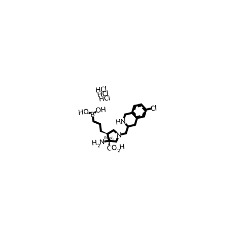 Cl.Cl.Cl.N[C@@]1(C(=O)O)CN(CC2Cc3cc(Cl)ccc3CN2)C[C@@H]1CCCB(O)O